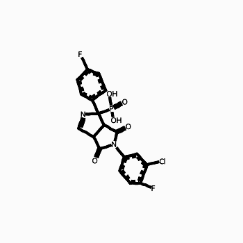 O=C1C2C=NC(c3ccc(F)cc3)(P(=O)(O)O)C2C(=O)N1c1ccc(F)c(Cl)c1